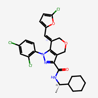 C[C@H](NC(=O)c1nn(-c2ccc(Cl)cc2Cl)c2c1COC/C2=C\c1ccc(Cl)o1)C1CCCCC1